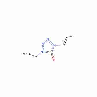 C/C=C/n1nnn(COC)c1=O